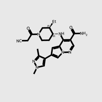 CC[C@@H]1CN(C(=O)CC#N)CC[C@H]1Nc1c(C(N)=O)cnn2cc(-c3cn(C)nc3C)cc12